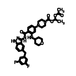 CC(=O)OC(C)OC(=O)N1CCN(c2ccc(C(=O)Nc3n[nH]c4ccc(Cc5cc(F)cc(F)c5)cc34)c(NC3CCOCC3)c2)CC1